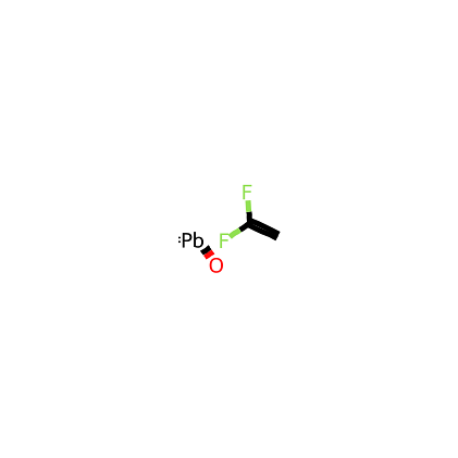 C=C(F)F.[O]=[Pb]